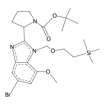 COc1cc(Br)cc2nc(C3CCCN3C(=O)OC(C)(C)C)n(COCC[Si](C)(C)C)c12